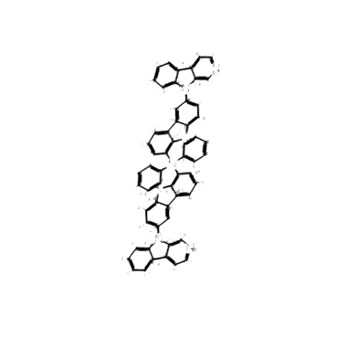 c1ccc([Si](c2ccccc2)(c2cccc3c2oc2ccc(-n4c5ccccc5c5ccncc54)cc23)c2cccc3c2sc2ccc(-n4c5ccccc5c5ccncc54)cc23)cc1